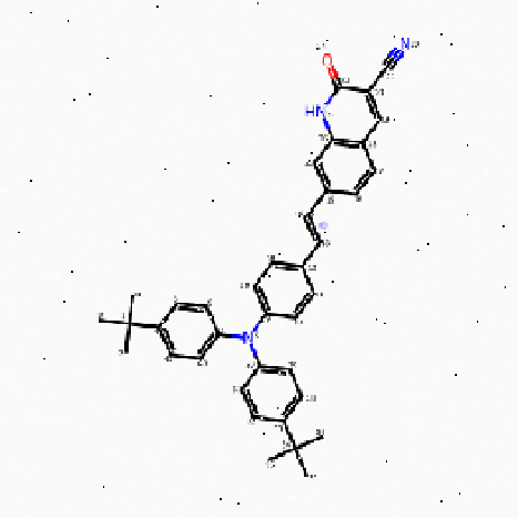 CC(C)(C)c1ccc(N(c2ccc(/C=C/c3ccc4cc(C#N)c(=O)[nH]c4c3)cc2)c2ccc(C(C)(C)C)cc2)cc1